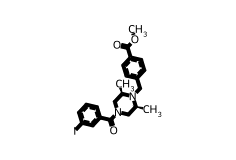 COC(=O)c1ccc(CN2[C@H](C)CN(C(=O)c3cccc(I)c3)C[C@@H]2C)cc1